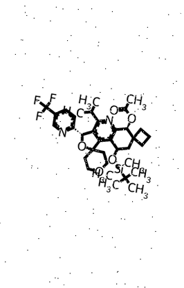 CC(=O)O[C@@H]1c2nc(C(C)C)c3c(c2C(O[Si](C)(C)C(C)(C)C)CC12CCC2)C1(CCOCC1)O[C@@H]3c1ccc(C(F)(F)F)cn1